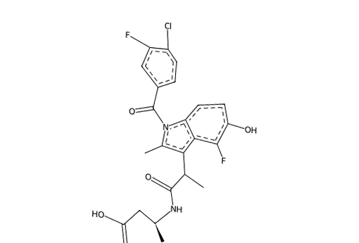 Cc1c(C(C)C(=O)N[C@@H](C)CC(=O)O)c2c(F)c(O)ccc2n1C(=O)c1ccc(Cl)c(F)c1